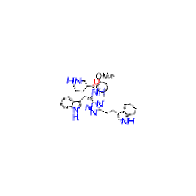 COc1ccc(Cn2c(CCc3c[nH]c4ccccc34)nnc2[C@@H](Cc2c[nH]c3ccccc23)NC(=O)C2CCCNC2)cc1